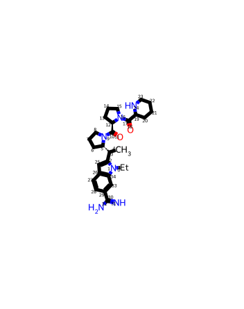 CCn1c(C(C)[C@@H]2CCCN2C(=O)[C@H]2CCCN2C(=O)C2CCCCN2)cc2ccc(C(=N)N)cc21